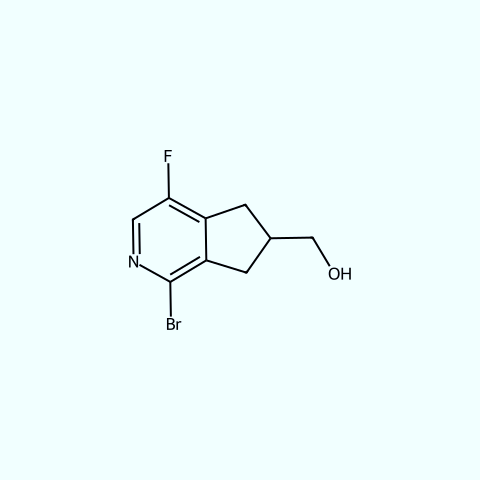 OCC1Cc2c(F)cnc(Br)c2C1